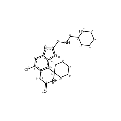 O=C1Nc2c(Cl)cc3nc(CNCC4CCCCN4)oc3c2C2(CCCCC2)N1